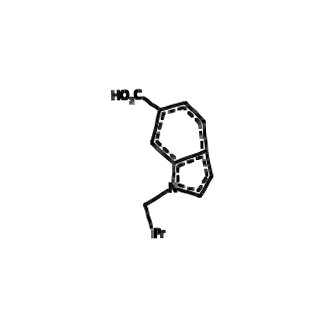 CC(C)Cn1ccc2ccc(C(=O)O)cc21